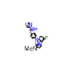 CN[C@@H]1CCN(c2cc(F)ccc2Nc2ccc(SNc3cscn3)cc2)C1